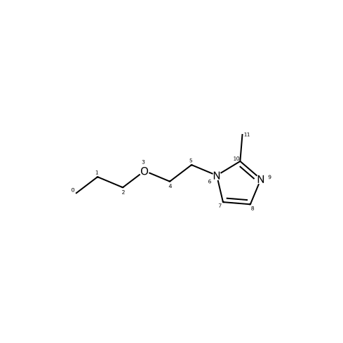 CCCOCCn1ccnc1C